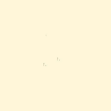 Clc1cc(N2CCCC2)nc2ccccc12